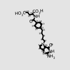 Nc1nc2ccn(CCCCCc3ccc(C(=O)NC(CCC(=O)O)C(=O)O)cc3)c2c(=O)[nH]1